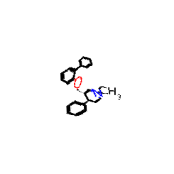 CN1CC[C@@H](c2ccccc2)[C@H](COc2ccccc2-c2ccccc2)C1